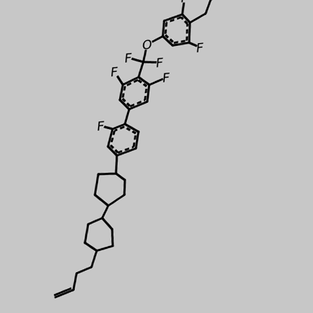 C=CCCC1CCC(C2CCC(c3ccc(-c4cc(F)c(C(F)(F)Oc5cc(F)c(CCC)c(F)c5)c(F)c4)c(F)c3)CC2)CC1